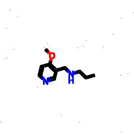 CCCNCc1cnccc1OC